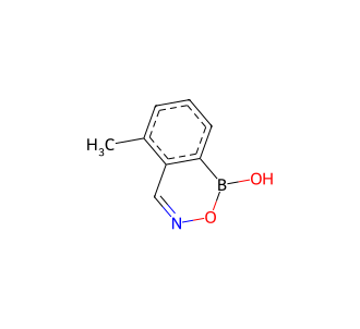 Cc1cccc2c1C=NOB2O